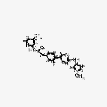 Cn1cnc(Nc2ncc(-c3ccc(CC(=O)Nc4cc(C(F)(F)F)ccn4)cc3F)cn2)c1